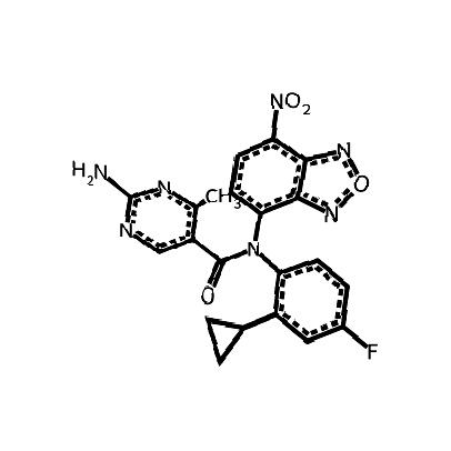 Cc1nc(N)ncc1C(=O)N(c1ccc(F)cc1C1CC1)c1ccc([N+](=O)[O-])c2nonc12